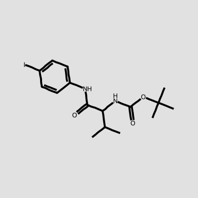 CC(C)C(NC(=O)OC(C)(C)C)C(=O)Nc1ccc(I)cc1